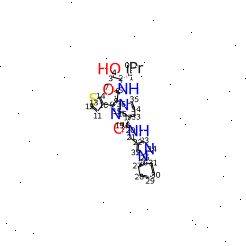 CC(C)C[C@@H](CO)NC(=O)c1c(-c2ccsc2)nc2c(C(=O)NCc3cnn(-c4ccccc4)c3)cccn12